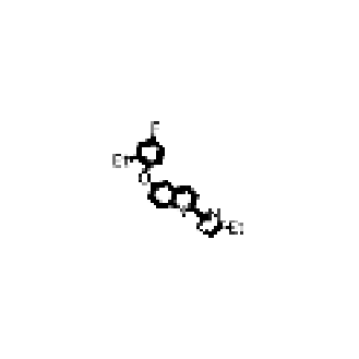 CCc1cc(F)ccc1Oc1ccc2nc(C3=N[C@@H](CC)CS3)ccc2c1